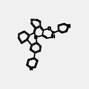 C1=C2C(=c3ccccc3=C3c4ccccc4-c4cc(-c5ccncc5)ccc4N23)O[PH](c2ccncc2)=C1